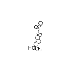 CC12CCC(O)(C(F)(F)F)CC1=CCC1C2CCC2(C)C(CC[S+]([O-])c3ccccc3)CCC12